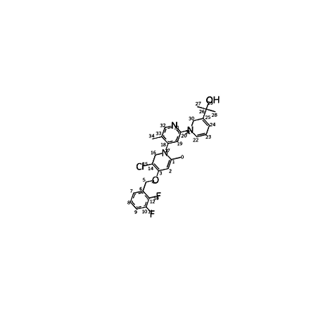 CC1=CC(OCc2cccc(F)c2F)=C(Cl)CN1c1cc(N2C=CC=C(C(C)(C)O)C2)ncc1C